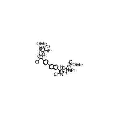 CCCN(Cc1nc(Cl)c(-c2ccc(-c3ccc4cc(-c5[nH]c([C@H](C)N(CCC)C(=O)[C@@H](NC(=O)OC)C(C)C)nc5Cl)ccc4c3)cc2)[nH]1)C(=O)[C@@H](NC(=O)OC)C(C)C